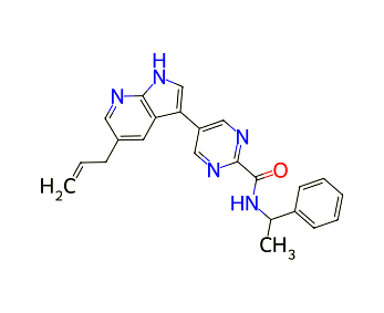 C=CCc1cnc2[nH]cc(-c3cnc(C(=O)NC(C)c4ccccc4)nc3)c2c1